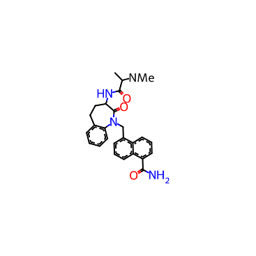 CNC(C)C(=O)NC1CCc2ccccc2N(Cc2cccc3c(C(N)=O)cccc23)C1=O